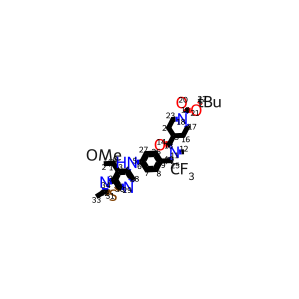 CO[C@H](C)c1c(Nc2ccc([C@H](N(C)C(=O)C3CCN(C(=O)OC(C)(C)C)CC3)C(F)(F)F)cc2)cnc2sc(C)nc12